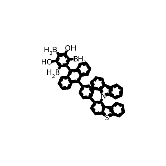 Bc1c(O)c(B)c(-c2c3ccccc3c(-c3ccc(-c4ccc5sc6ccccc6c5c4-n4c5ccccc5c5ccccc54)cc3)c3ccccc23)c(B)c1O